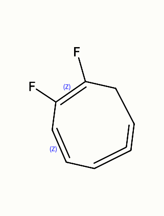 FC1=C(\F)CC=C=C/C=C\1